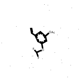 C=Cc1cc(OC(C)=O)cc(OC(F)F)c1